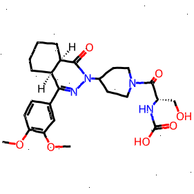 COc1ccc(C2=NN(C3CCN(C(=O)[C@H](CO)NC(=O)O)CC3)C(=O)[C@@H]3CCCC[C@H]23)cc1OC